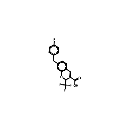 O=C(O)C1=Cc2ccc(Cc3ccc(F)cc3)cc2OC1C(F)(F)F